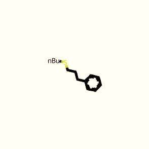 [CH2]CCCSCCCc1ccccc1